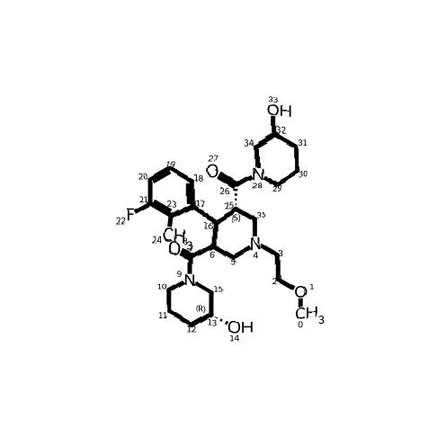 COCCN1CC(C(=O)N2CCC[C@@H](O)C2)C(c2cccc(F)c2C)[C@H](C(=O)N2CCCC(O)C2)C1